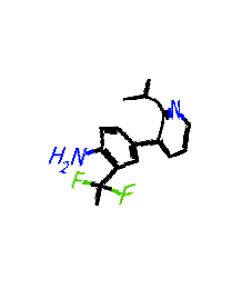 CC(C)c1ncccc1-c1ccc(N)c(C(C)(F)F)c1